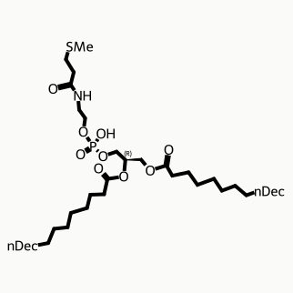 CCCCCCCCCCCCCCCCCC(=O)OC[C@H](COP(=O)(O)OCCNC(=O)CCSC)OC(=O)CCCCCCCCCCCCCCCCC